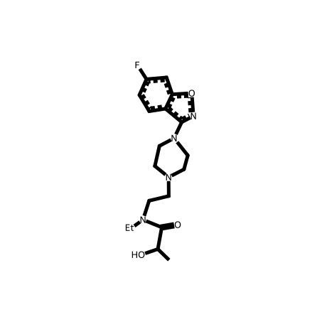 CCN(CCN1CCN(c2noc3cc(F)ccc23)CC1)C(=O)C(C)O